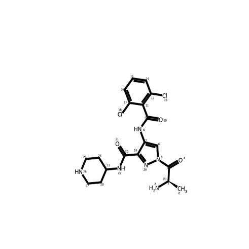 C[C@@H](N)C(=O)n1cc(NC(=O)c2c(Cl)cccc2Cl)c(C(=O)NC2CCNCC2)n1